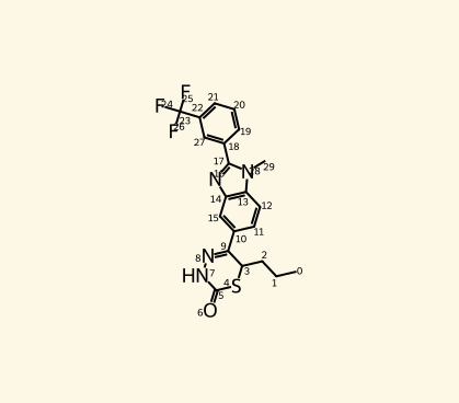 CCCC1SC(=O)NN=C1c1ccc2c(c1)nc(-c1cccc(C(F)(F)F)c1)n2C